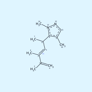 C=C(C)/C(C)=C/C(C)c1c(C)cnn1C